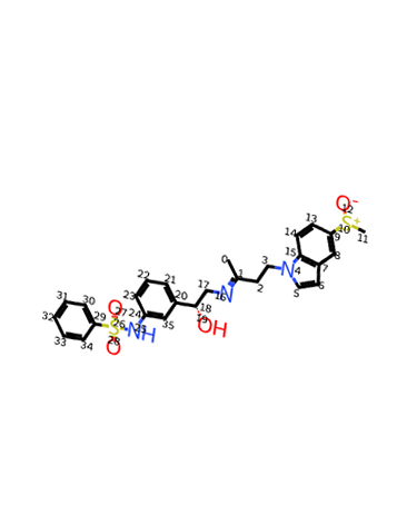 C/C(CCn1ccc2cc([S+](C)[O-])ccc21)=N\C[C@H](O)c1cccc(NS(=O)(=O)c2ccccc2)c1